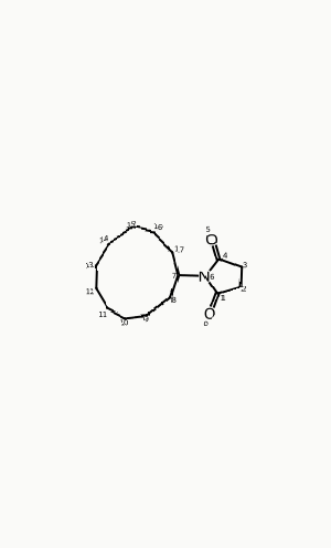 O=C1CCC(=O)N1C1CCCCCCCCCC1